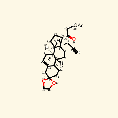 C#CC[C@]12CC[C@H]3[C@@H](CC=C4CC5(CC[C@@]43C)OCCO5)[C@@H]1CC[C@@H]2C(=O)COC(C)=O